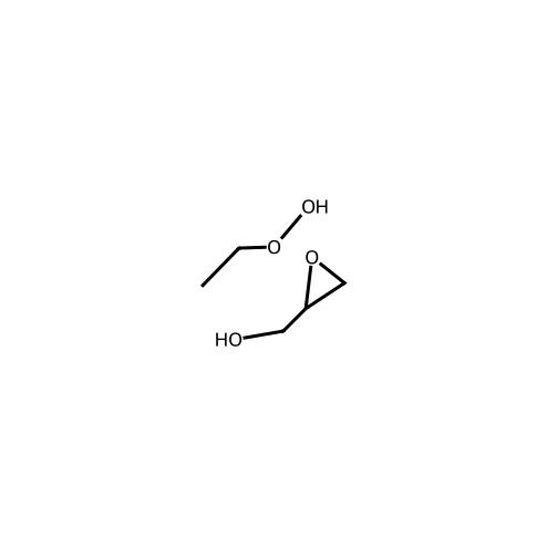 CCOO.OCC1CO1